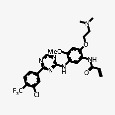 C=CC(=O)Nc1cc(Nc2ncnc(-c3ccc(C(F)(F)F)c(Cl)c3)n2)c(OC)cc1OCCN(C)C